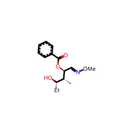 CC[C@H](O)[C@@H](C)[C@H](C=NOC)OC(=O)c1ccccc1